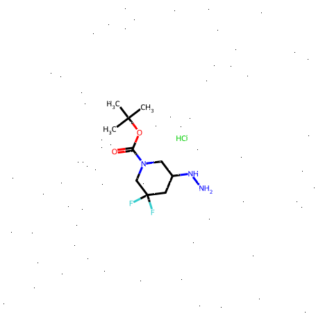 CC(C)(C)OC(=O)N1CC(NN)CC(F)(F)C1.Cl